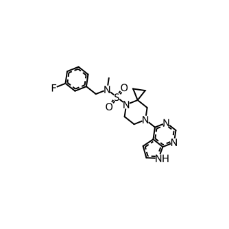 CN(Cc1cccc(F)c1)S(=O)(=O)N1CCN(c2ncnc3[nH]ccc23)CC12CC2